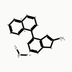 CC1=Cc2c(cccc2-c2cccc3ccccc23)[CH]1.[F][Zr][F]